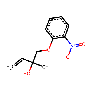 C=CC(C)(O)COc1ccccc1[N+](=O)[O-]